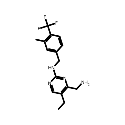 CCc1cnc(NCc2ccc(C(F)(F)F)c(C)c2)nc1CN